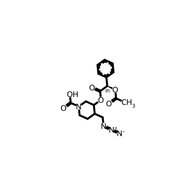 CC(=O)O[C@@H](C(=O)OC1CN(C(=O)O)CCC1CN=[N+]=[N-])c1ccccc1